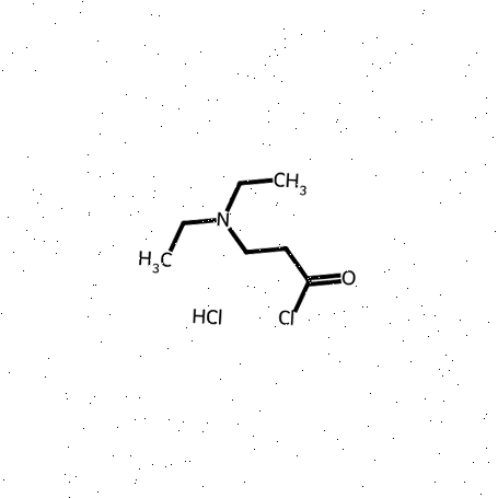 CCN(CC)CCC(=O)Cl.Cl